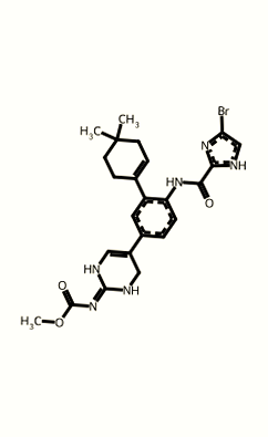 COC(=O)N=C1NC=C(c2ccc(NC(=O)c3nc(Br)c[nH]3)c(C3=CCC(C)(C)CC3)c2)CN1